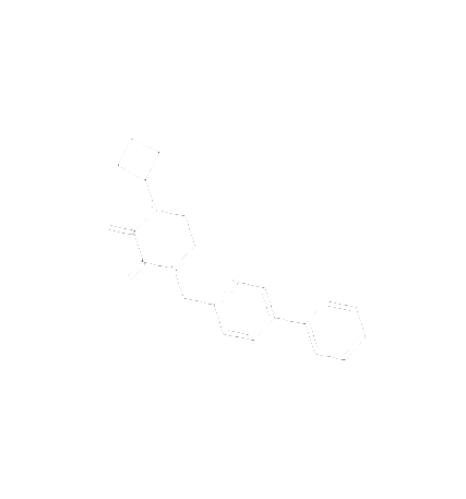 O=C1C(=O)N(C2CCC2)CCN1Cc1ccc(-c2ccccc2)cn1